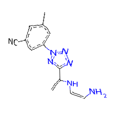 C=C(N/C=C\N)c1nnn(-c2cc(C)cc(C#N)c2)n1